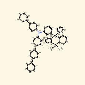 CC1(C)c2ccccc2C2(c3ccccc3-c3ccc(N(c4ccc(-c5ccccc5)cc4)c4ccc(-c5ccc(-c6ccccc6)cc5)cc4)cc32)c2ccccc21